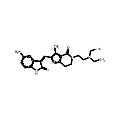 CCN(CC)CCN1CCc2[nH]c(/C=C3\C(=O)Nc4ccc(N)cc43)c(C)c2C1=O